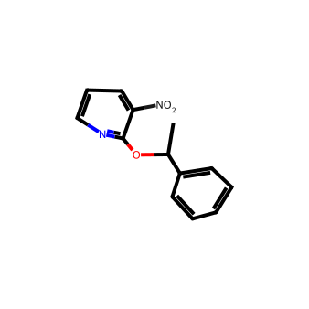 CC(Oc1ncccc1[N+](=O)[O-])c1ccccc1